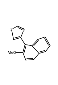 COc1ccc2ccccc2c1-c1cs[c]n1